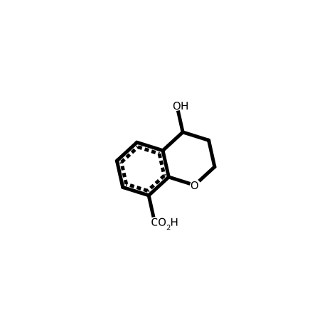 O=C(O)c1cccc2c1OCCC2O